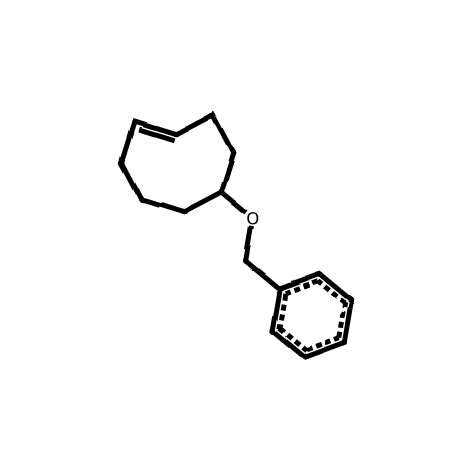 C1=C/CCC(OCc2ccccc2)CCC/1